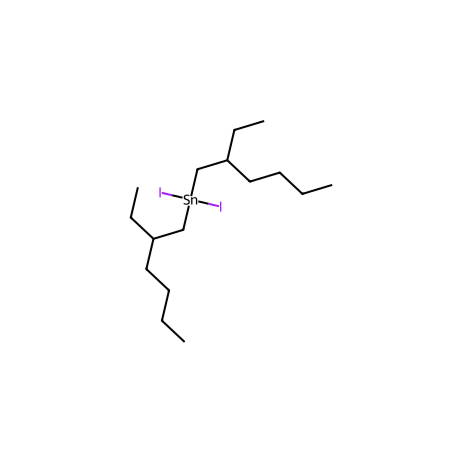 CCCCC(CC)[CH2][Sn]([I])([I])[CH2]C(CC)CCCC